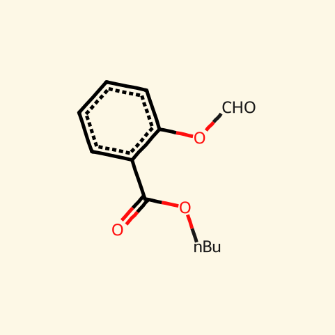 CCCCOC(=O)c1ccccc1OC=O